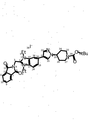 CCn1c(CN2C(=O)c3ccccc3C2=O)[n+](CC)c2ccc(-c3cnn(C4CCN(C(=O)OC(C)(C)C)CC4)c3)cc21.[I-]